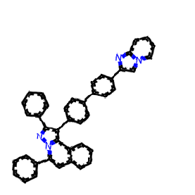 c1ccc(-c2nn3c(-c4ccccc4)cc4ccccc4c3c2-c2ccc(-c3ccc(-c4cn5ccccc5n4)cc3)cc2)cc1